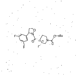 CC(C)(C)OC(=O)N1CC[C@@H](C(=O)N2OCCC2c2cc(F)cc(F)c2)[C@@H](F)C1